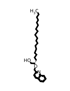 CCCCCCCCCCCCCCCCCC[C@@H](CO)OCc1ccc2ccccc2n1